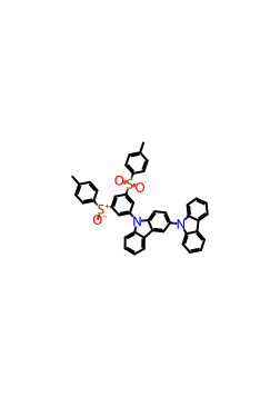 Cc1ccc([S+]([O-])c2cc(-n3c4ccccc4c4cc(-n5c6ccccc6c6ccccc65)ccc43)cc(S(=O)(=O)c3ccc(C)cc3)c2)cc1